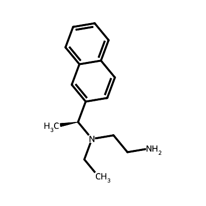 CCN(CCN)[C@@H](C)c1ccc2ccccc2c1